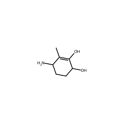 CC1=C(O)C(O)CCC1N